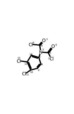 O=C(Cl)N(C(=O)Cl)c1ccc(Cl)c(Cl)c1